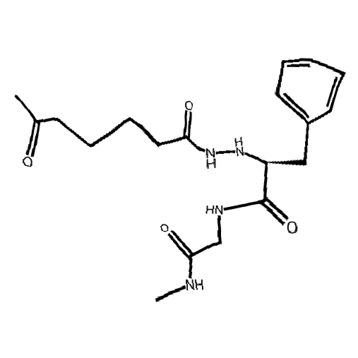 CNC(=O)CNC(=O)[C@H](Cc1ccccc1)NNC(=O)CCCCC(C)=O